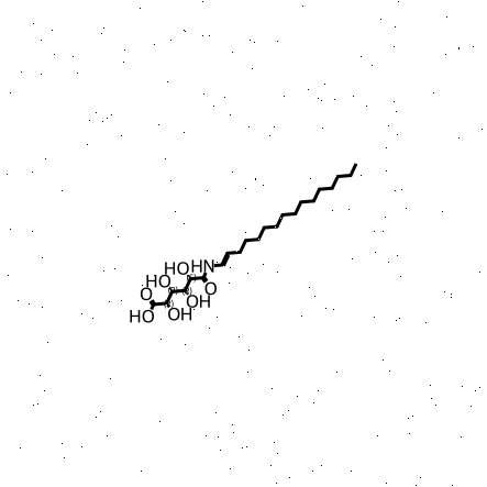 CCCCCCCCCCCCCCC=CNC(=O)[C@@H](O)[C@H](O)[C@@H](O)[C@@H](O)C(=O)O